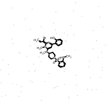 C=C/C(Br)=C1/N=C(c2ccccc2O)C=C(N(C)C2CCN(S(=O)(=O)c3ccccc3BC)CC2)N1C